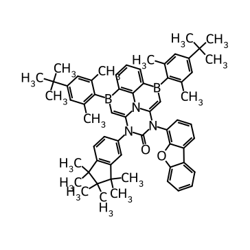 Cc1cc(C(C)(C)C)cc(C)c1B1C=C2N(c3ccc4c(c3)C(C)(C)C(C)(C)C4(C)C)C(=O)N(c3cccc4c3oc3ccccc34)C3=CB(c4c(C)cc(C(C)(C)C)cc4C)c4cccc1c4N23